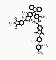 Cc1ccc(-c2ccc(N3C(=O)c4ccc(C(=O)Nc5c(C)cc(C6(c7cc(C)c(NC(=O)c8ccc9c(c8)C(=O)N(C)C9=O)c(C)c7)c7ccccc7-c7ccccc76)cc5C)cc4C3=O)cc2C(F)(F)F)c(C)c1